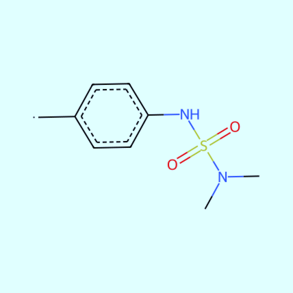 [CH2]c1ccc(NS(=O)(=O)N(C)C)cc1